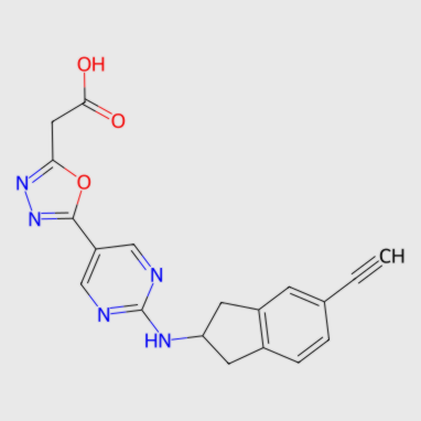 C#Cc1ccc2c(c1)CC(Nc1ncc(-c3nnc(CC(=O)O)o3)cn1)C2